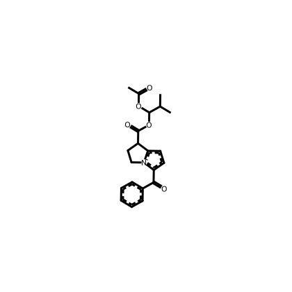 CC(=O)OC(OC(=O)C1CCn2c(C(=O)c3ccccc3)ccc21)C(C)C